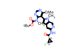 COc1ncnc(N(C)C(=O)OC(C)(C)C)c1-c1cc2cc(NC(=O)[C@@H]3C[C@@H]3F)ncc2n1C